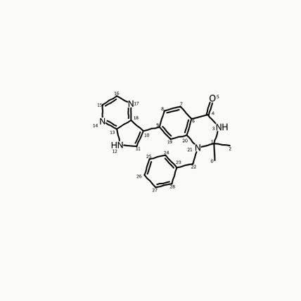 CC1(C)NC(=O)c2ccc(-c3c[nH]c4nccnc34)cc2N1Cc1ccccc1